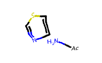 CC(N)=O.c1cscn1